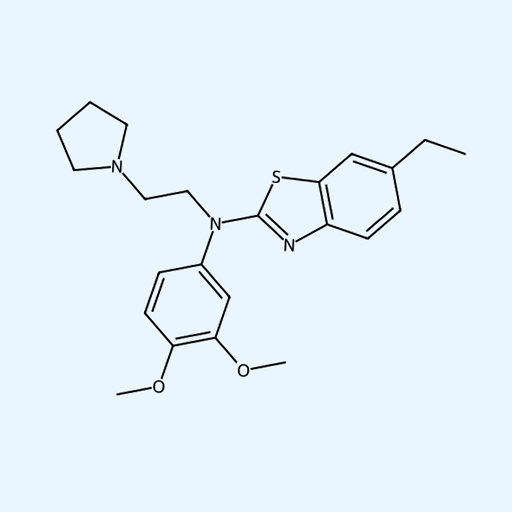 CCc1ccc2nc(N(CCN3CCCC3)c3ccc(OC)c(OC)c3)sc2c1